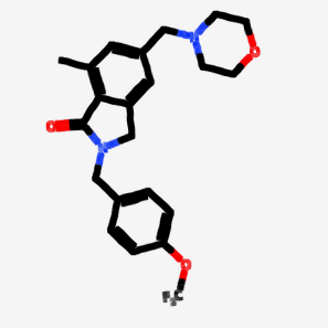 Cc1cc(CN2CCOCC2)cc2c1C(=O)N(Cc1ccc(OC(F)(F)F)cc1)C2